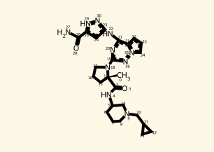 C[C@@]1(C(=O)NC2CCCN(CC3CC3)C2)CCCN1c1nc(Nc2cc(C(N)=O)[nH]n2)c2cccn2n1